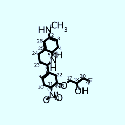 CNC1=CC[C@@H]2NC(C3=CC[C@H]([N+](=O)[O-])[C@H](OCC(O)CF)C3)CCC2=C1